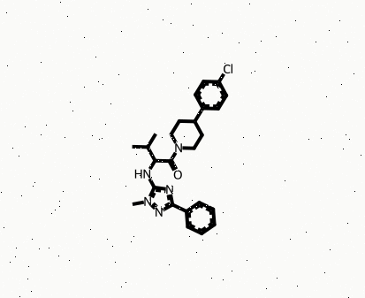 CC(C)C(Nc1nc(-c2ccccc2)nn1C)C(=O)N1CCC(c2ccc(Cl)cc2)CC1